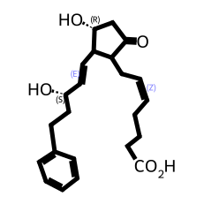 O=C(O)CCC/C=C\CC1C(=O)C[C@@H](O)C1/C=C/[C@@H](O)CCc1ccccc1